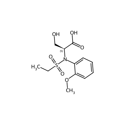 CCS(=O)(=O)N(c1ccccc1OC)[C@@H](CO)C(=O)O